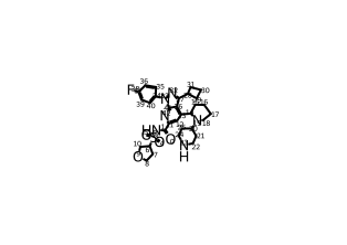 O=C(NS(=O)(=O)C1CCOC1)c1cc(C2CCCCN2C2CCNCC2)c2c(C3CCC3)nn(-c3ccc(F)cc3)c2n1